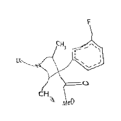 CCN1C(C)C(C(=O)OC)(c2cccc(F)c2)C1C